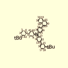 CC(C)(C)c1cccc(-c2ccc(N(c3ccc(-c4cccc(C(C)(C)C)c4)cc3)c3ccc(-c4cccc5ccccc45)cc3)cc2)c1